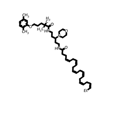 CC/C=C\C/C=C\C/C=C\C/C=C\C/C=C\C/C=C\CCC(=O)NCCC(CCNC(=O)C(C)(C)CCCOc1cc(C)ccc1C)N1CCOCC1